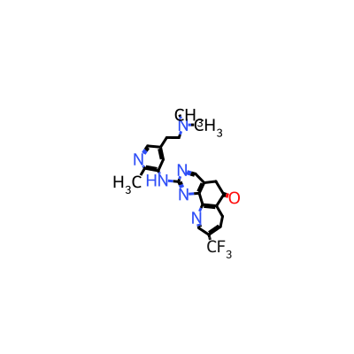 Cc1ncc(CCN(C)C)cc1Nc1ncc2c(n1)C1=C(CC=C(C(F)(F)F)C=N1)C(=O)C2